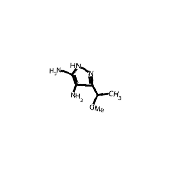 COC(C)c1n[nH]c(N)c1N